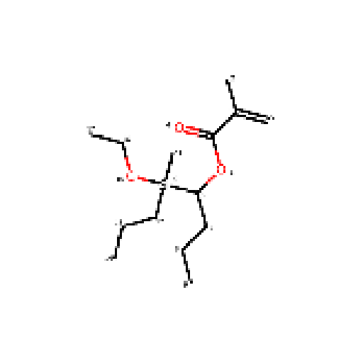 C=C(C)C(=O)OC(CCC)[Si](C)(CCC)OCC